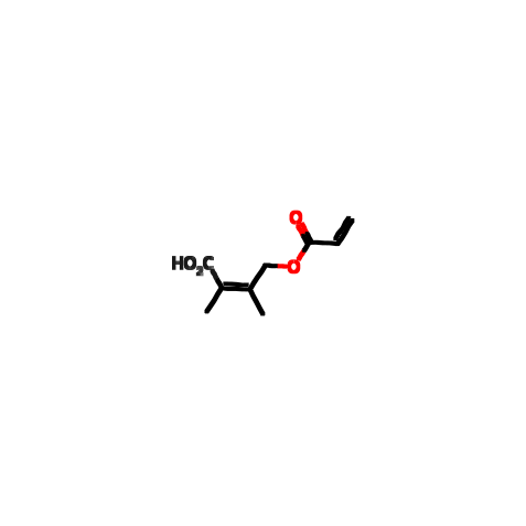 C=CC(=O)OCC(C)=C(C)C(=O)O